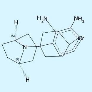 CC(C)C1CCC(N2[C@@H]3CC[C@H]2CC(c2cccc(N)c2N)C3)CC1